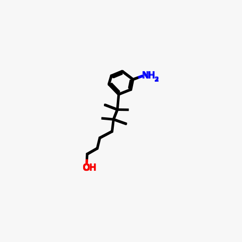 CC(C)(CCCCO)C(C)(C)c1cccc(N)c1